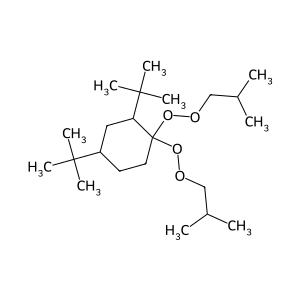 CC(C)COOC1(OOCC(C)C)CCC(C(C)(C)C)CC1C(C)(C)C